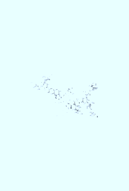 CCCCCN1/C(=C/C=C/C2=[N+](CCCS(=O)(=O)[O-])c3ccc4cc(-c5cc(C(=O)NCC)nc(C(=O)NCC)c5)ccc4c3C2(C)C)C(C)(C)c2c1cc(S(=O)(=O)O)c1cc(-c3cc(C(=O)NCCS(=O)(=O)O)nc(C(=O)NCCS(=O)(=O)O)c3)ccc21